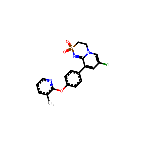 O=S1(=O)CCN2C=C(Cl)C=C(c3ccc(Oc4ncccc4C(F)(F)F)cc3)C2=N1